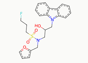 O=S(=O)(CCCF)N(Cc1ccco1)CC(O)Cn1c2ccccc2c2ccccc21